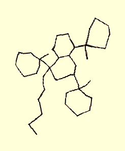 CCCCCCC1(C2(C)CCCCC2)CC(C2(C)CCCCC2)CC2C(C3(C)CCCCC3)CCCC21